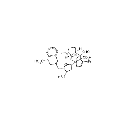 CCCCC1CC(C23C[C@@H]4[C@H](C)CC[C@H]4C4(C=O)CC2C=C(C(C)C)C34C(=O)O)OC1CN(CCC(=O)O)Cc1ccccn1